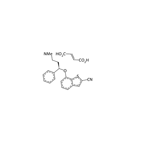 CNCC[C@@H](Oc1cccc2cc(C#N)sc12)c1ccccc1.O=C(O)C=CC(=O)O